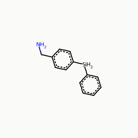 NCc1ccc([SiH2]c2ccccc2)cc1